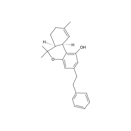 CC1=C[C@H]2c3c(O)cc(CCc4ccccc4)cc3OC(C)(C)[C@H]2CC1